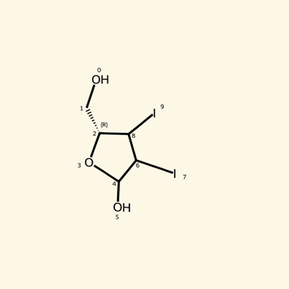 OC[C@H]1OC(O)C(I)C1I